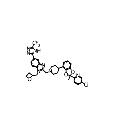 CC1(c2ccc(Cl)cn2)Oc2cccc(C3CCN(Cc4nc5cc(-c6nnc(C(F)(F)F)[nH]6)ccc5n4CC4CCO4)CC3)c2O1